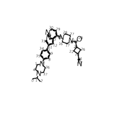 CC(C)N1CCN(c2ccc(-c3cc4c(N5CCN(C(=O)C6CC(C#N)C6)CC5)ccnn4c3)cc2)CC1